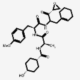 COc1ccc(C[C@H](NC(=O)[C@@H](C)NC(=O)[C@H]2CC[C@@H](O)CC2)C(=O)NC(CC2=CCCCC2)C(=O)[C@H]2CO2)cc1